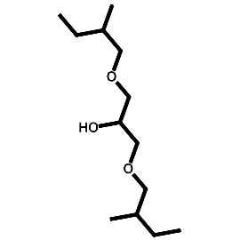 CCC(C)COCC(O)COCC(C)CC